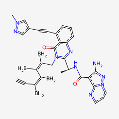 B/C(C#C)=C(B)/C(B)=C(/B)Cn1c([C@H](C)NC(=O)c2c(N)nn3cccnc23)nc2cccc(C#Cc3cnn(C)c3)c2c1=O